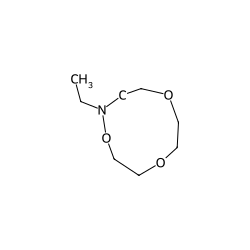 CCN1CCOCCOCCO1